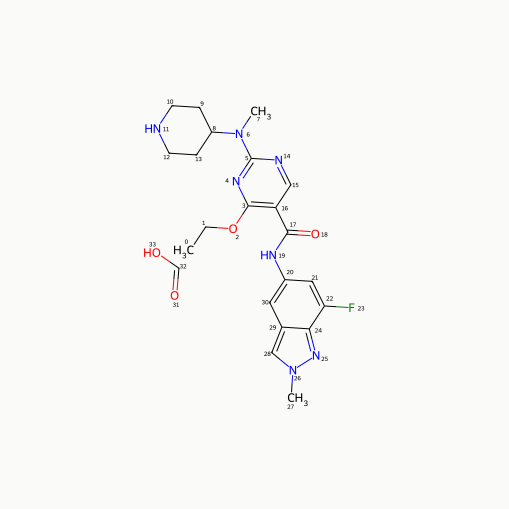 CCOc1nc(N(C)C2CCNCC2)ncc1C(=O)Nc1cc(F)c2nn(C)cc2c1.O=CO